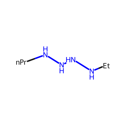 CCCNNNNCC